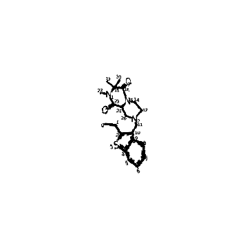 CCc1sc2ccccc2c1CN1CCN2C(=O)C(C)(C)N(C)C(=O)C2C1